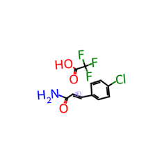 NC(=O)/C=C/c1ccc(Cl)cc1.O=C(O)C(F)(F)F